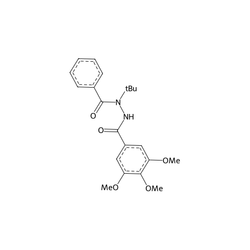 COc1cc(C(=O)NN(C(=O)c2ccccc2)C(C)(C)C)cc(OC)c1OC